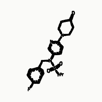 CCCS(=O)(=O)N(Cc1ccc(F)cc1)c1ccc(N2CCC(=O)CC2)nc1